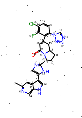 Cc1cc2c(-c3cnc([C@@H]4CCC5CC(c6c(-n7cnnn7)ccc(Cl)c6F)=CC(=O)N54)[nH]3)c[nH]c2cn1